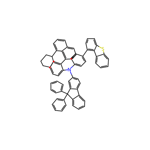 c1ccc(C2(c3ccccc3)c3ccccc3-c3ccc(N(c4ccc(-c5cccc6sc7ccccc7c56)cc4)c4ccccc4-c4cccc5cccc(C6CCCCC6)c45)cc32)cc1